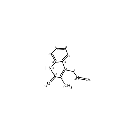 Cc1c(CN=O)c2ccccc2[nH]c1=O